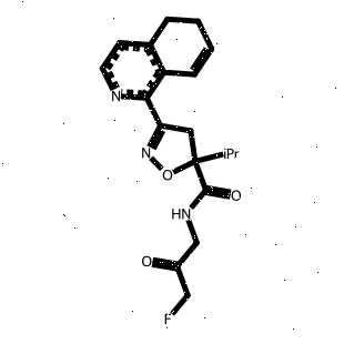 CC(C)C1(C(=O)NCC(=O)CF)CC(c2nccc3c2C=CCC3)=NO1